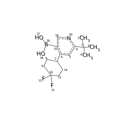 CC(C)(C)c1cc(C2CCC(F)(F)CC2)c(B(O)O)cn1